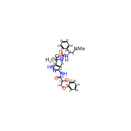 CNC[C@@H](NC(=O)N1Cc2c(NC(=O)C3COc4ccccc4O3)n[nH]c2C1(C)C)c1ccccc1